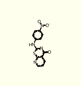 O=c1nc(Nc2ccc([N+](=O)[O-])cc2)sc2ncccc12